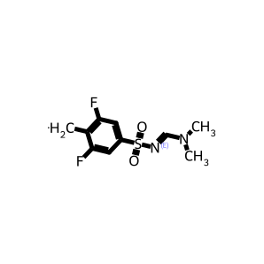 [CH2]c1c(F)cc(S(=O)(=O)/N=C/N(C)C)cc1F